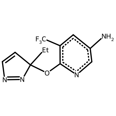 CCC1(Oc2ncc(N)cc2C(F)(F)F)C=CN=N1